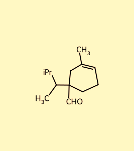 CC1=CCCC(C=O)(C(C)C(C)C)C1